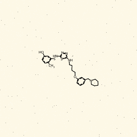 Cc1ccc(O)cc1SNc1nnc(NCCCCOc2cccc(CN3CCCCC3)c2)s1